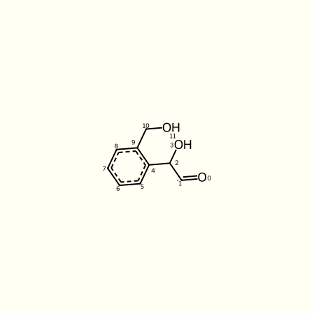 O=[C]C(O)c1ccccc1CO